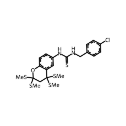 CSC1(SC)CC(SC)(SC)c2cc(NC(=S)NCc3ccc(Cl)cc3)ccc2O1